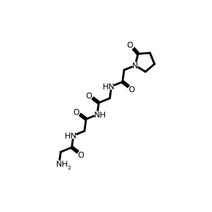 NCC(=O)NCC(=O)NC(=O)CNC(=O)CN1CCCC1=O